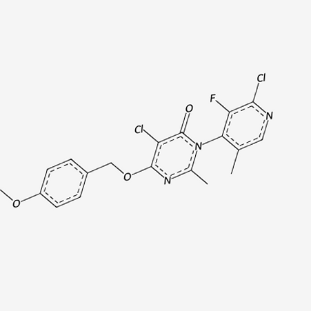 COc1ccc(COc2nc(C)n(-c3c(C)cnc(Cl)c3F)c(=O)c2Cl)cc1